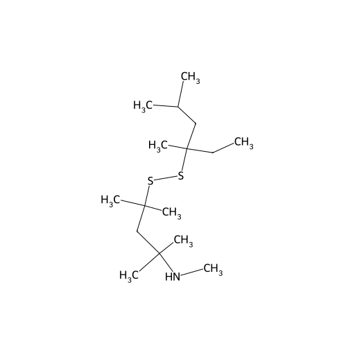 CCC(C)(CC(C)C)SSC(C)(C)CC(C)(C)NC